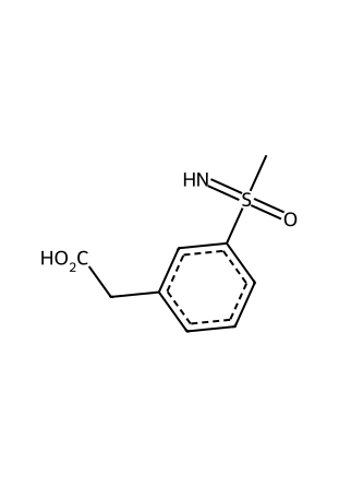 CS(=N)(=O)c1cccc(CC(=O)O)c1